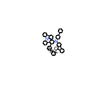 CC1(C)c2ccccc2-c2ccc(N(c3ccc(-c4ccccc4)cc3)c3ccc(-c4ccccc4-n4c5ccccc5c5ccccc54)c(-c4cccc(-c5ccccc5)c4)c3)cc21